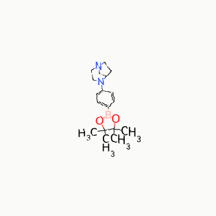 CC1(C)OB(c2ccc(N3CCN4CCC3C4)cc2)OC1(C)C